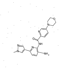 Cn1cc(-c2ccc(N)c(NC(=O)c3ccc(N4CCOCC4)cn3)n2)cn1